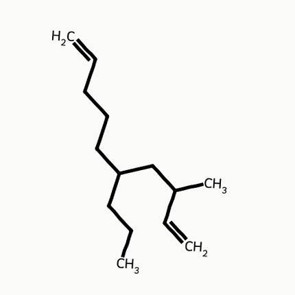 C=CCCCC(CCC)CC(C)C=C